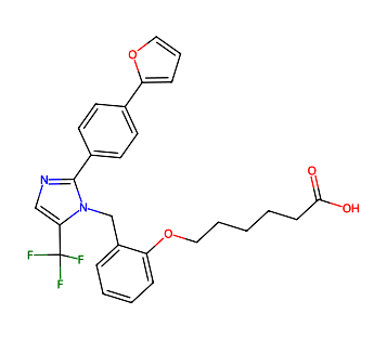 O=C(O)CCCCCOc1ccccc1Cn1c(C(F)(F)F)cnc1-c1ccc(-c2ccco2)cc1